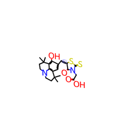 CC1(C)CCN2CCC(C)(C)c3c(O)c(/C=C4/SC(=S)N(CC(=O)O)C4=O)cc1c32